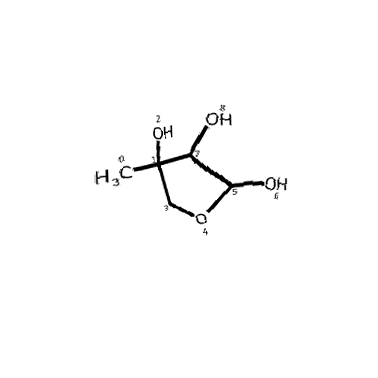 CC1(O)COC(O)C1O